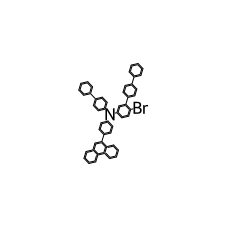 Brc1ccc(N(c2ccc(-c3ccccc3)cc2)c2ccc(-c3cc4ccccc4c4ccccc34)cc2)cc1-c1ccc(-c2ccccc2)cc1